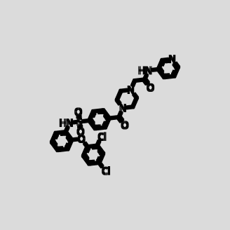 O=C(CN1CCN(C(=O)c2ccc(S(=O)(=O)Nc3ccccc3Oc3ccc(Cl)cc3Cl)cc2)CC1)Nc1cccnc1